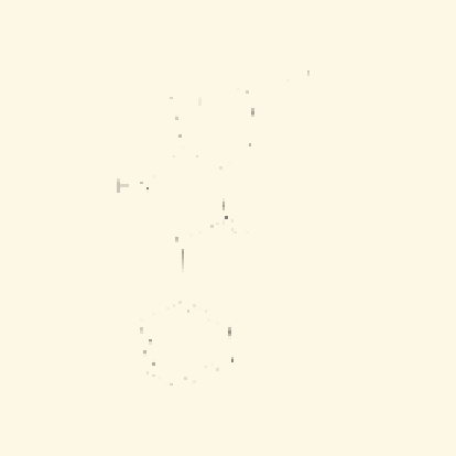 CCCCCCCCC(CC)CC(C(=O)Oc1ccccc1)C(N)CCCC